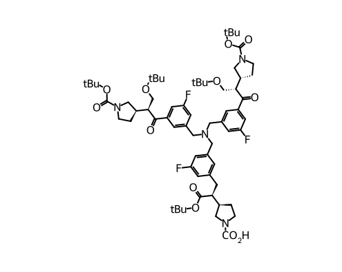 CC(C)(C)OC[C@@H](C(=O)c1cc(F)cc(CN(Cc2cc(F)cc(C[C@H](C(=O)OC(C)(C)C)[C@H]3CCN(C(=O)O)C3)c2)Cc2cc(F)cc(C(=O)[C@H](COC(C)(C)C)[C@H]3CCN(C(=O)OC(C)(C)C)C3)c2)c1)[C@H]1CCN(C(=O)OC(C)(C)C)C1